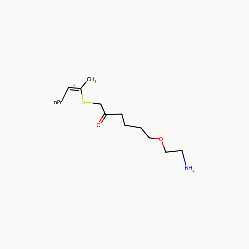 CCC/C=C(/C)SCC(=O)CCCCOCCN